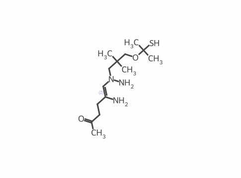 CC(=O)CC/C(N)=C/N(N)CC(C)(C)COC(C)(C)S